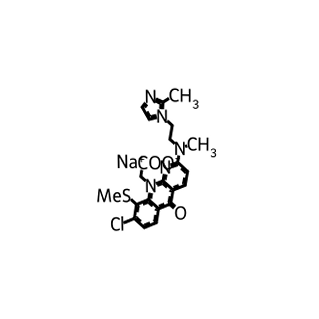 CSc1c(Cl)ccc2c(=O)c3ccc(N(C)CCn4ccnc4C)nc3n(CC(=O)[O-])c12.[Na+]